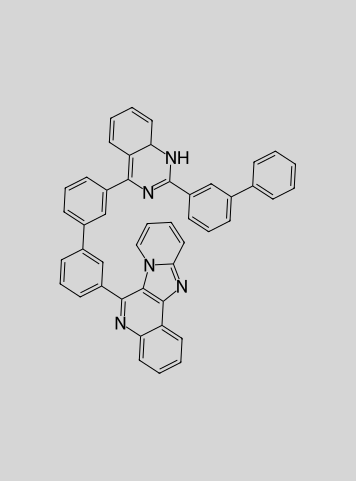 C1=CC2=C(c3cccc(-c4cccc(-c5nc6ccccc6c6nc7ccccn7c56)c4)c3)N=C(c3cccc(-c4ccccc4)c3)NC2C=C1